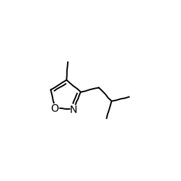 Cc1conc1CC(C)C